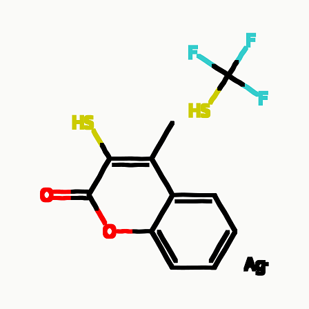 Cc1c(S)c(=O)oc2ccccc12.FC(F)(F)S.[Ag]